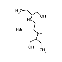 Br.CCC(CO)NCCNC(CC)CO